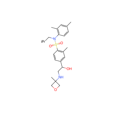 Cc1ccc(N(CC(C)C)S(=O)(=O)c2ccc(C(O)CNC3(C)COC3)cc2C)c(C)c1